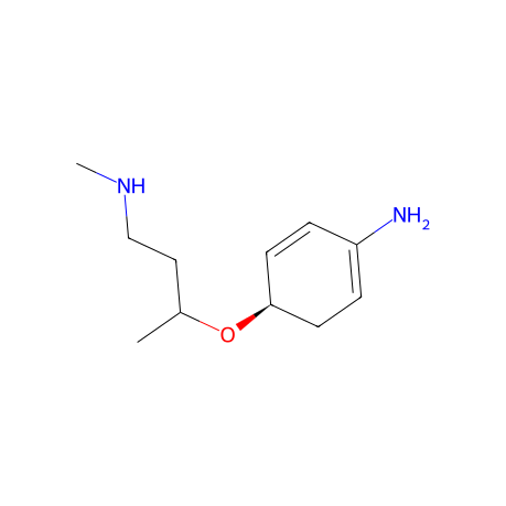 CNCCC(C)O[C@H]1C=CC(N)=CC1